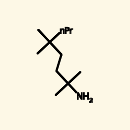 CCCC(C)(C)CCC(C)(C)N